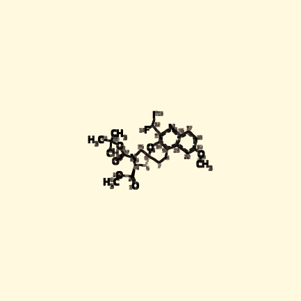 COC(=O)[C@@H]1C[C@]2(CCc3c(c(C(F)F)nc4ccc(OC)cc34)O2)CN1C(=O)OC(C)(C)C